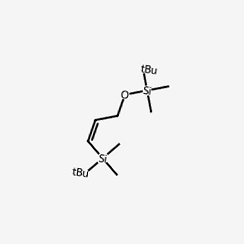 CC(C)(C)[Si](C)(C)/C=C\CO[Si](C)(C)C(C)(C)C